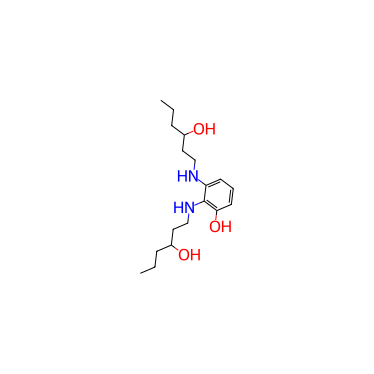 CCCC(O)CCNc1cccc(O)c1NCCC(O)CCC